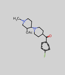 CC(=O)OC1CN(C)CCC1N1CCC(C(=O)c2ccc(F)cc2)CC1